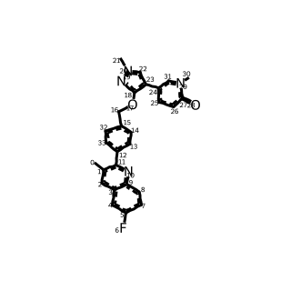 Cc1cc2cc(F)ccc2nc1-c1ccc(COc2nn(C)cc2-c2ccc(=O)n(C)c2)cc1